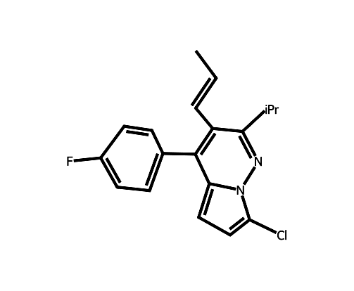 C/C=C/c1c(C(C)C)nn2c(Cl)ccc2c1-c1ccc(F)cc1